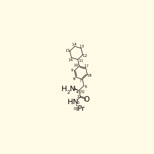 CC(C)NC(=O)[C@@H](N)Cc1ccc(C2CCCCC2)cc1